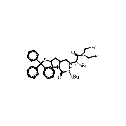 CCC(C)[C@H](NCC1CC(SC(c2ccccc2)(c2ccccc2)c2ccccc2)CN1C(=O)OC(C)(C)C)C(=O)N(CC(C)C)CC(C)C